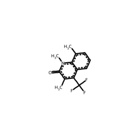 Cc1c(C(F)(F)F)c2cccc(C)c2n(C)c1=O